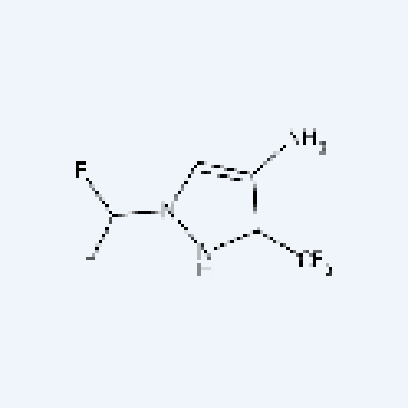 NC1=CN(C(F)F)NC1C(F)(F)F